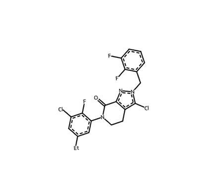 CCc1cc(Cl)c(F)c(N2CCc3c(nn(Cc4cccc(F)c4F)c3Cl)C2=O)c1